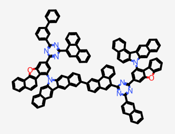 c1ccc(-c2cccc(-c3nc(-c4cc(-n5c6cc7ccccc7cc6c6cc7cc(-c8ccc9cc(-c%10nc(-c%11ccc%12ccccc%12c%11)nc(-c%11cc(-n%12c%13cc%14ccccc%14cc%13c%13c%14ccccc%14ccc%13%12)c%12c(c%11)oc%11ccccc%11%12)n%10)c%10ccccc%10c9c8)ccc7cc65)c5c(c4)oc4c6ccccc6ccc45)nc(-c4cc5ccccc5c5ccccc45)n3)c2)cc1